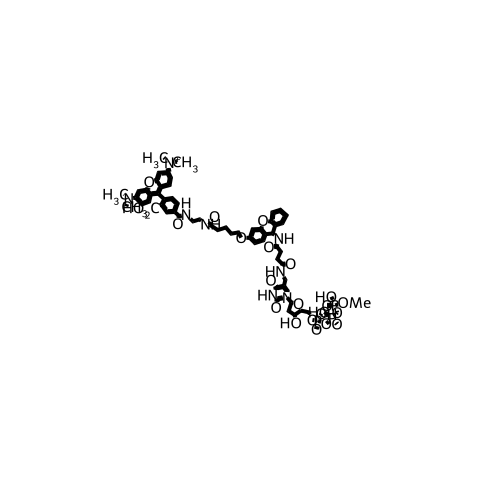 COP(=O)(O)OP(=O)(O)OP(=O)(O)OCC1OC(n2cc(CNC(=O)CCC(=O)NC3c4ccccc4Oc4cc(OCCCCC(=O)NCCNC(=O)c5ccc(-c6c7ccc(=[N+](C)C)cc-7oc7cc(N(C)C)ccc67)c(C(=O)O)c5)ccc43)c(=O)[nH]c2=O)CC1O